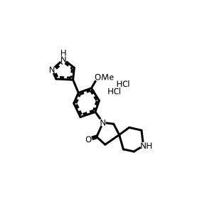 COc1cc(N2CC3(CCNCC3)CC2=O)ccc1-c1cn[nH]c1.Cl.Cl